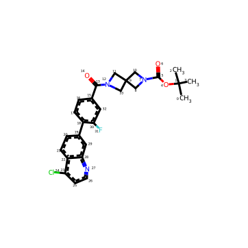 CC(C)(C)OC(=O)N1CC2(C1)CN(C(=O)c1ccc(-c3ccc4c(Cl)ccnc4c3)c(F)c1)C2